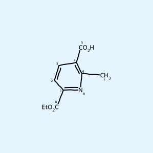 CCOC(=O)c1ccc(C(=O)O)c(C)n1